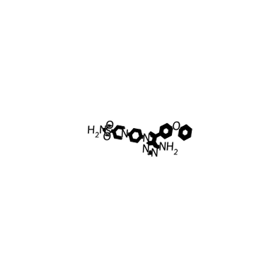 Nc1ncnc2c1c(-c1ccc(Oc3ccccc3)cc1)cn2C1CCC(N2CCC(S(N)(=O)=O)CC2)CC1